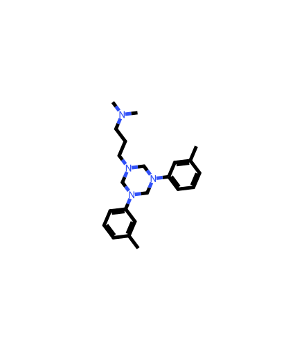 Cc1cccc(N2CN(CCCN(C)C)CN(c3cccc(C)c3)C2)c1